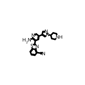 N#Cc1cccc2sc(-c3cc(-c4cnn(C5CCNCC5)c4)cnc3N)nc12